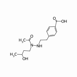 CC(=O)N(CCC(C)O)NCCc1ccc(C(=O)O)cc1